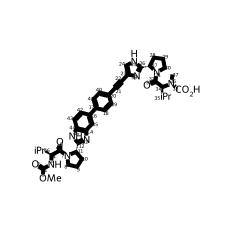 COC(=O)N[C@H](C(=O)N1CCC[C@H]1c1nc2cc(-c3ccc(C#Cc4c[nH]c([C@@H]5CCCN5C(=O)[C@H](C(C)C)N(C)C(=O)O)n4)cc3)ccc2[nH]1)C(C)C